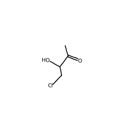 CC(=O)C(O)CCl